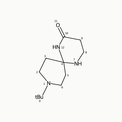 CC(C)(C)N1CCC2(CC1)NCCC(=O)N2